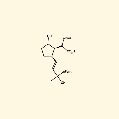 CCCCCC(C(=O)O)[C@@H]1[C@@H](O)CC[C@@H]1C=CC(C)(O)CCCCC